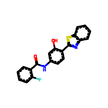 O=C(Nc1ccc(-c2nc3ccccc3s2)c(O)c1)c1ccccc1F